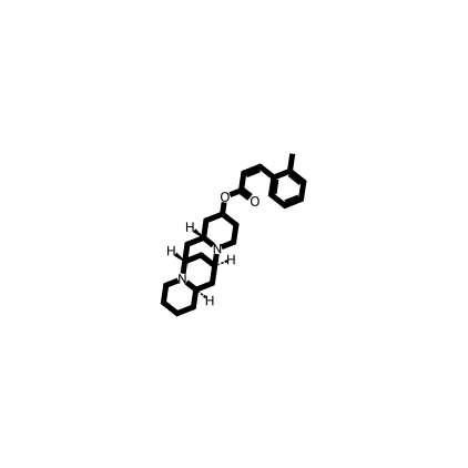 Cc1ccccc1/C=C\C(=O)OC1CCN2[C@@H]3C[C@@H](C[C@@H]2C1)N1CCCC[C@@H]1C3